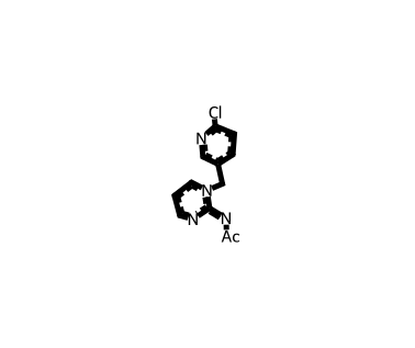 CC(=O)/N=c1\ncccn1Cc1ccc(Cl)nc1